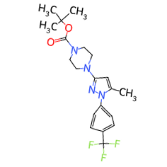 Cc1cc(N2CCN(C(=O)OC(C)(C)C)CC2)nn1-c1ccc(C(F)(F)F)cc1